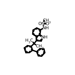 CC(C)(c1ccccc1-c1ccccc1)c1c[nH]c2c(NS(C)(=O)=O)cccc12